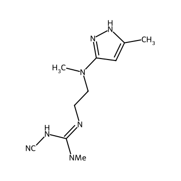 CNC(=NCCN(C)c1cc(C)[nH]n1)NC#N